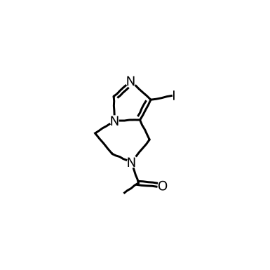 CC(=O)N1CCn2cnc(I)c2C1